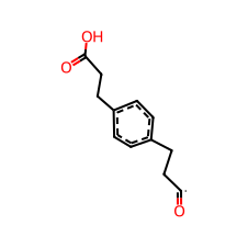 O=[C]CCc1ccc(CCC(=O)O)cc1